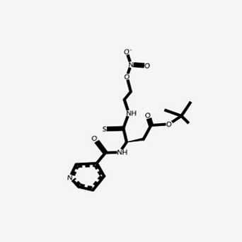 CC(C)(C)OC(=O)C[C@@H](NC(=O)c1cccnc1)C(=S)NCCO[N+](=O)[O-]